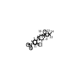 C[C@@H]1CN(c2ccc([N+](=O)[O-])cc2Cl)C[C@H](C)N1C(=O)OC(C)(C)C